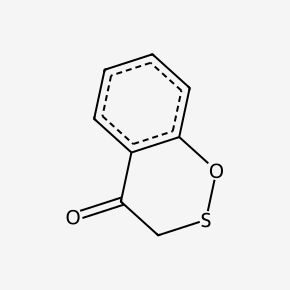 O=C1CSOc2ccccc21